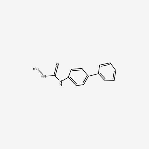 CC(C)(C)NC(=O)Nc1ccc(-c2ccccc2)cc1